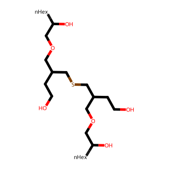 CCCCCCC(O)COCC(CCO)CSCC(CCO)COCC(O)CCCCCC